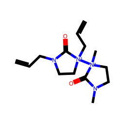 C=CCN1CC[N+](CC=C)([N+]2(C)CCN(C)C2=O)C1=O